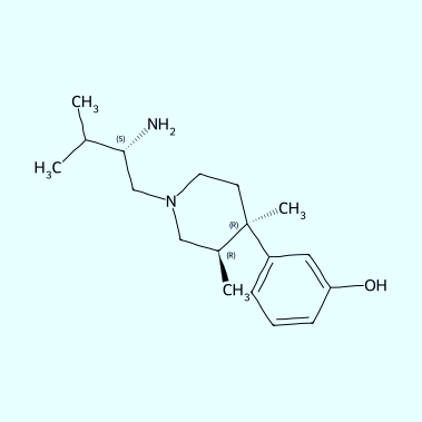 CC(C)[C@H](N)CN1CC[C@@](C)(c2cccc(O)c2)[C@@H](C)C1